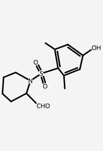 Cc1cc(O)cc(C)c1S(=O)(=O)N1CCCCC1C=O